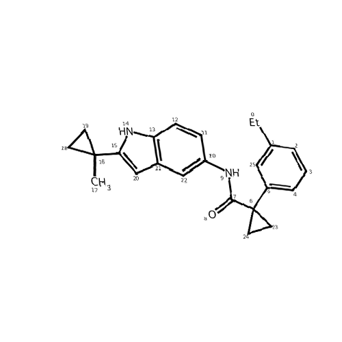 CCc1cccc(C2(C(=O)Nc3ccc4[nH]c(C5(C)CC5)cc4c3)CC2)c1